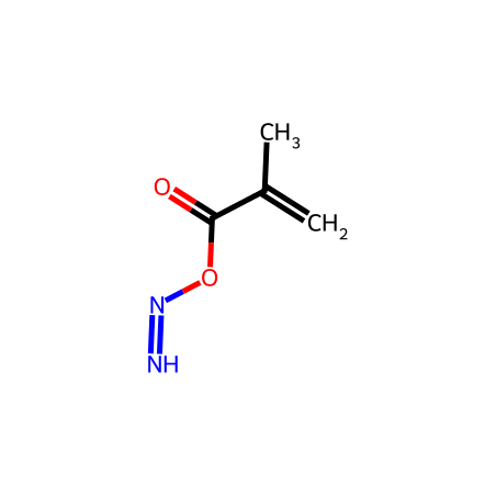 C=C(C)C(=O)ON=N